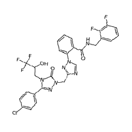 O=C(NCc1cccc(F)c1F)c1ccccc1-n1cnc(Cn2nc(-c3ccc(Cl)cc3)n(CC(O)C(F)(F)F)c2=O)n1